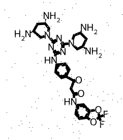 N[C@@H]1C[C@H](N)CN(c2nc(Nc3ccc(C(=O)CC(=O)Nc4ccc5c(c4)OC(F)(F)O5)cc3)nc(N3C[C@H](N)C[C@H](N)C3)n2)C1